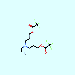 CCN(CCCOC(=O)C(F)(F)F)CCCOC(=O)C(F)(F)F